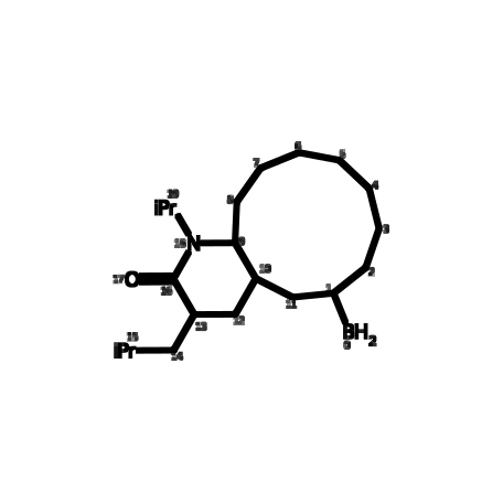 BC1CCCCCCCC2C(C1)CC(CC(C)C)C(=O)N2C(C)C